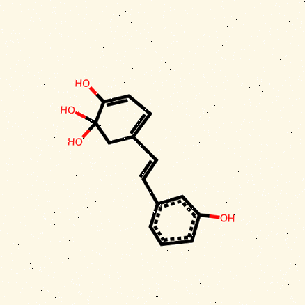 OC1=CC=C(C=Cc2cccc(O)c2)CC1(O)O